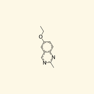 CCOc1ccc2nc(C)ncc2c1